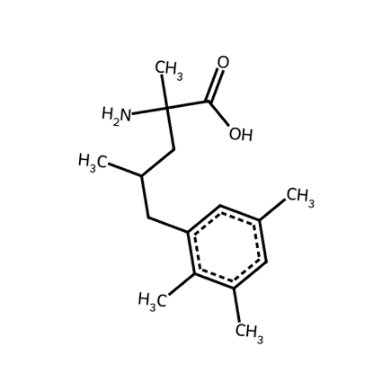 Cc1cc(C)c(C)c(CC(C)CC(C)(N)C(=O)O)c1